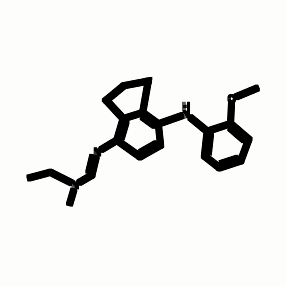 CCN(C)C=Nc1ccc(Nc2ccccc2OC)c2c1CCC2